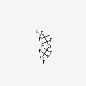 FOC(F)(F)C(F)(F)OC(F)(F)C(F)(F)C(F)(F)F